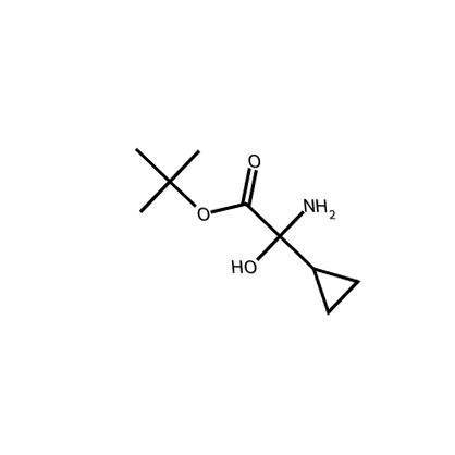 CC(C)(C)OC(=O)C(N)(O)C1CC1